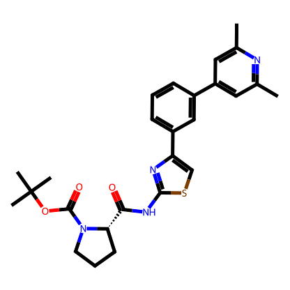 Cc1cc(-c2cccc(-c3csc(NC(=O)[C@@H]4CCCN4C(=O)OC(C)(C)C)n3)c2)cc(C)n1